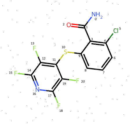 NC(=O)c1c(Cl)cccc1Sc1c(F)c(F)nc(F)c1F